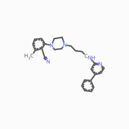 Cc1cccc(N2CCN(CCCCNc3cc(-c4ccccc4)ccn3)CC2)c1C#N